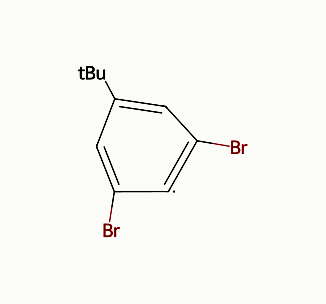 CC(C)(C)c1cc(Br)[c]c(Br)c1